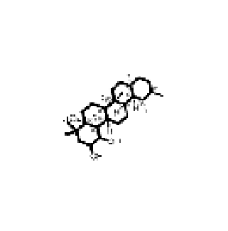 C[C@@H]1[C@H]2[C@H]3CC[C@H]4[C@@](C)(CC[C@@]5(O)C(C)(C)CC(O)C(O)[C@]45C)[C@]3(C)CC[C@@]2(C)CC[C@H]1C